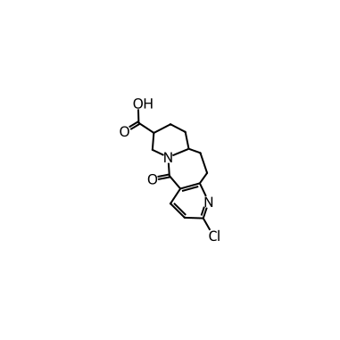 O=C(O)C1CCC2CCc3nc(Cl)ccc3C(=O)N2C1